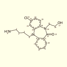 NCCCCN1c2ccccc2C(=O)N(CCO)c2ccc(Cl)cc21